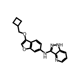 c1cnc2c(Nc3ccc4c(OCC5CCC5)coc4c3)n[nH]c2c1